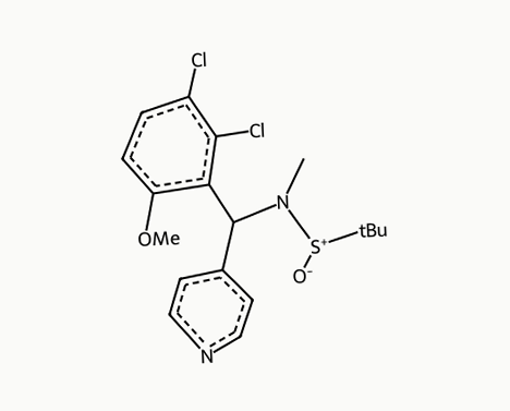 COc1ccc(Cl)c(Cl)c1C(c1ccncc1)N(C)[S+]([O-])C(C)(C)C